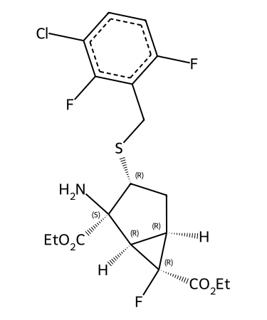 CCOC(=O)[C@@]1(N)[C@H]2[C@@H](C[C@H]1SCc1c(F)ccc(Cl)c1F)[C@]2(F)C(=O)OCC